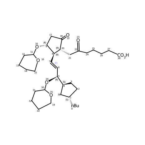 CCCC[C@H]1CC[C@H]([C@H](/C=C/[C@H]2[C@H](OC3CCCCO3)CC(=O)[C@@H]2CC(=O)CCCCC(=O)O)OC2CCCCO2)C1